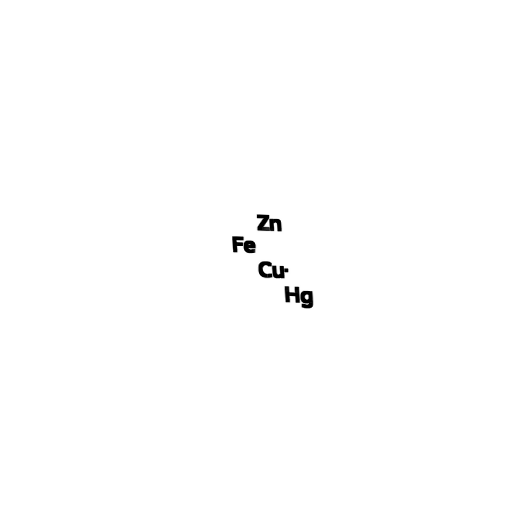 [Cu].[Fe].[Hg].[Zn]